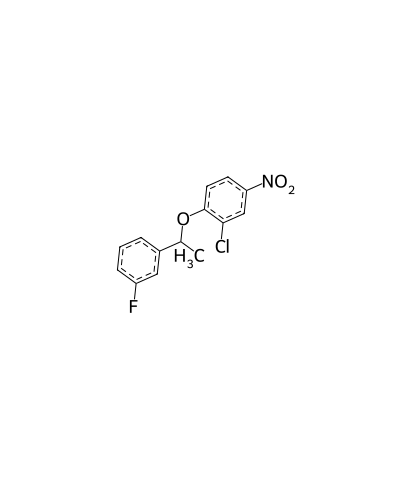 CC(Oc1ccc([N+](=O)[O-])cc1Cl)c1cccc(F)c1